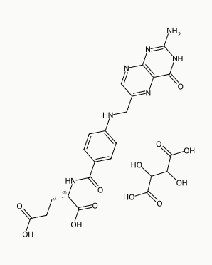 Nc1nc2ncc(CNc3ccc(C(=O)N[C@@H](CCC(=O)O)C(=O)O)cc3)nc2c(=O)[nH]1.O=C(O)C(O)C(O)C(=O)O